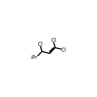 CC(C)C(Cl)C=C(Cl)Cl